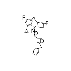 Fc1ccc(C(=NOCc2coc(Cc3ccccc3)c2)c2ccc(F)cc2C2CC2)c(C2CC2)c1